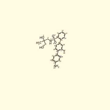 CC(O)(CO)CNS(=O)(=O)c1ccccc1-c1ccc(-c2cnc(N)cn2)c(F)c1